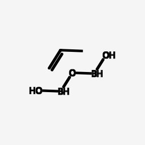 C=CC.OBOBO